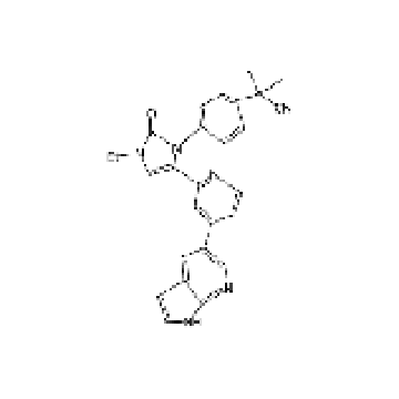 CCn1cc(-c2cc(-c3cnc4[nH]ccc4c3)ccn2)n(-c2ccc(C(C)(C)C#N)cc2)c1=O